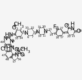 COc1cc(N2CCC(N3CCN(CCc4ccc(C5CCC(=O)NC5=O)cc4F)CC3)CC2)ccc1Nc1ncc(Cl)c(Nc2cccc3c2N(S(C)(=O)=O)CC3)n1